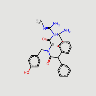 NCCC[C@@H](C(=O)NC(N)=N[N+](=O)[O-])N(Cc1ccc(O)cc1)C(=O)C(c1ccccc1)c1ccccc1